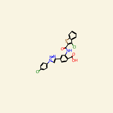 O=C(O)c1ccc(-c2cn(-c3ccc(Cl)cc3)nn2)cc1NC(=O)c1sc2ccccc2c1Cl